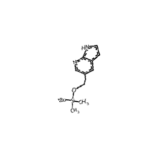 CC(C)(C)[Si](C)(C)OCc1cnc2[nH]ccc2c1